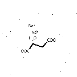 O.O=C([O-])CCC(=O)[O-].[Na+].[Na+]